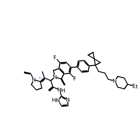 C=CN1CCC/C1=C(/C)C(C(=C)Nc1ncc[nH]1)N1Cc2c(F)cc(-c3ccc(C4(CCCN5CCC(CC)CC5)CC45CC5)cc3)c(F)c2C1=C